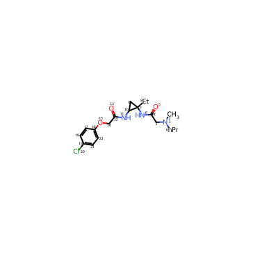 CCCN(C)CC(=O)NC1(CC)CC1NC(=O)COc1ccc(Cl)cc1